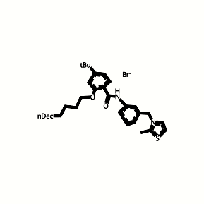 CCCCCCCCCCCCCCOc1cc(C(C)(C)C)ccc1C(=O)Nc1cccc(C[n+]2ccsc2C)c1.[Br-]